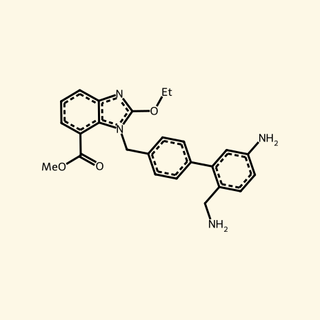 CCOc1nc2cccc(C(=O)OC)c2n1Cc1ccc(-c2cc(N)ccc2CN)cc1